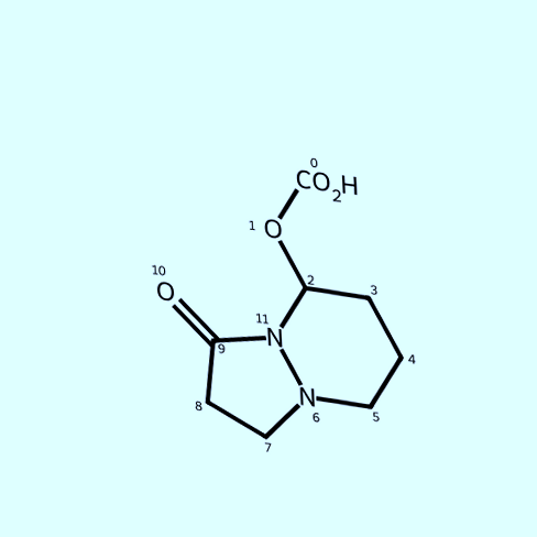 O=C(O)OC1CCCN2CCC(=O)N12